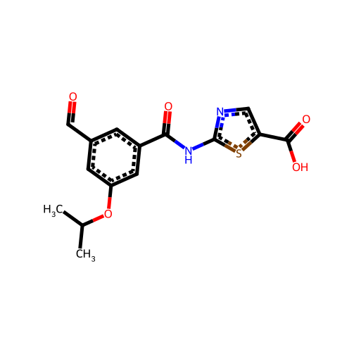 CC(C)Oc1cc(C=O)cc(C(=O)Nc2ncc(C(=O)O)s2)c1